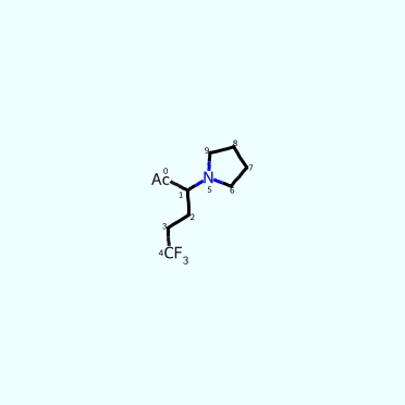 CC(=O)C(CCC(F)(F)F)N1CCCC1